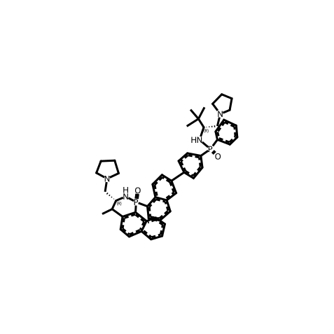 CC1c2ccc3ccccc3c2P(=O)(c2cccc3cc(-c4ccc(P(=O)(N[C@@H](CN5CCCC5)C(C)(C)C)c5ccccc5)cc4)ccc23)N[C@H]1CN1CCCC1